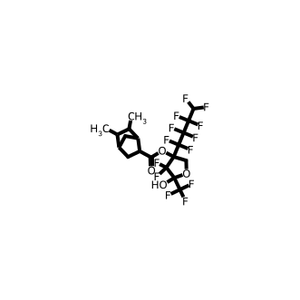 CC1C2CC(C(=O)OC3(C(F)(F)C(F)(F)C(F)(F)C(F)F)COC(O)(C(F)(F)F)C3(F)F)C(C2)C1C